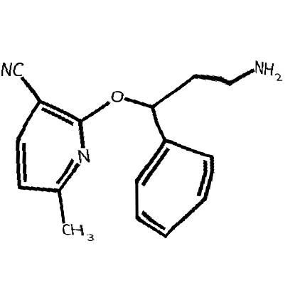 Cc1ccc(C#N)c(OC(CCN)c2ccccc2)n1